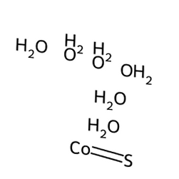 O.O.O.O.O.O.[S]=[Co]